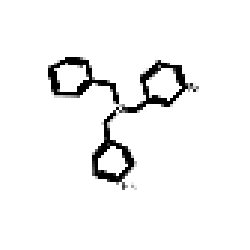 Br.Br.c1ccc([CH2][Sb]([CH2]c2ccccc2)[CH2]c2ccccc2)cc1